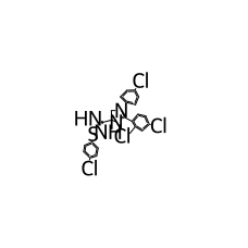 N=C(NSc1ccc(Cl)cc1)C1CN(c2ccc(Cl)cc2)C(c2ccc(Cl)cc2Cl)=N1